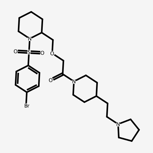 O=C(COCC1CCCCN1S(=O)(=O)c1ccc(Br)cc1)N1CCC(CCN2CCCC2)CC1